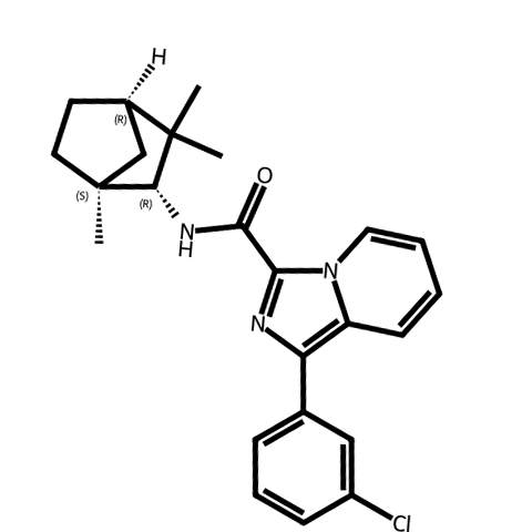 CC1(C)[C@@H]2CC[C@@](C)(C2)[C@H]1NC(=O)c1nc(-c2cccc(Cl)c2)c2ccccn12